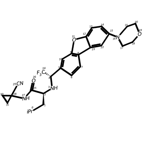 CC(C)C[C@H](N[C@@H](c1ccc2c(c1)oc1ccc(N3CCOCC3)cc12)C(F)(F)F)C(=O)NC1(C#N)CC1